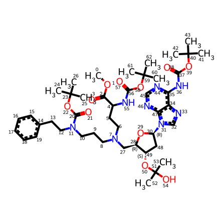 COC(=O)C(CCN(CCCN(CCc1ccccc1)C(=O)OC(C)(C)C)C[C@H]1O[C@@H](n2cnc3c(NC(=O)OC(C)(C)C)ncnc32)C[C@@H]1OC(C)(C)O)NC(=O)OC(C)(C)C